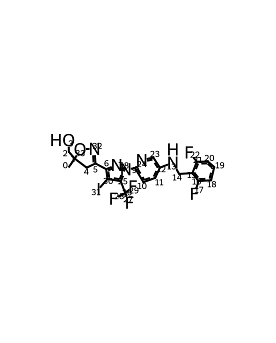 CC1(CO)CC(c2nn(-c3ccc(NCc4c(F)cccc4F)cn3)c(C(F)(F)F)c2I)=NO1